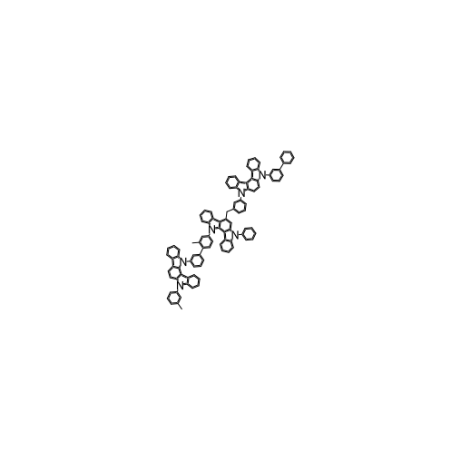 Cc1cccc(-n2c3ccccc3c3c2ccc2c4ccccc4n(-c4cccc(-c5ccc(-n6c7ccccc7c7c(Cc8cccc(-n9c%10ccccc%10c%10c%11c%12ccccc%12n(-c%12cccc(-c%13ccccc%13)c%12)c%11ccc%109)c8)cc8c(c9ccccc9n8-c8ccccc8)c76)cc5C)c4)c23)c1